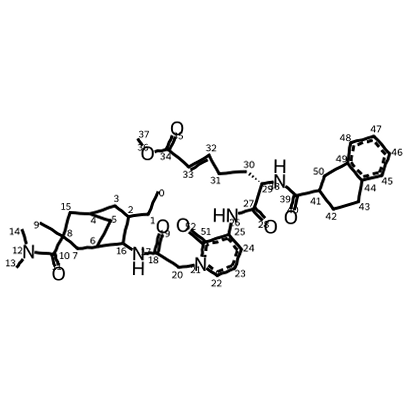 CCC1CC2CC(CC(C)(C(=O)N(C)C)C2)C1NC(=O)Cn1cccc(NC(=O)[C@H](CC/C=C/C(=O)OC)NC(=O)C2CCc3ccccc3C2)c1=O